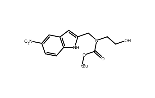 CC(C)(C)OC(=O)N(CCO)Cc1cc2cc([N+](=O)[O-])ccc2[nH]1